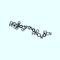 CN(c1ccc(C#N)c(Cl)c1)[C@H]1CC[C@H](NC(=O)c2ccc(N3CCC(CN4CCOc5cc6c(cc5C4)C(=O)N(C4CCC(=O)NC4=O)C6=O)CC3)cc2)CC1